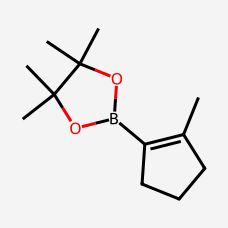 CC1=C(B2OC(C)(C)C(C)(C)O2)CCC1